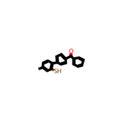 Cc1ccc(-c2ccc(C(=O)c3ccccc3)cc2)c(S)c1